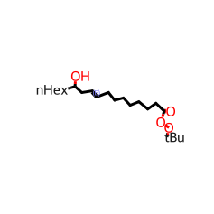 CCCCCCC(O)C/C=C/CCCCCCCC(=O)OOC(C)(C)C